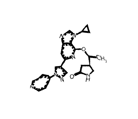 CC(Oc1nc(-c2cnn(-c3ccncc3)c2)cc2ncn(C3CC3)c12)[C@H]1CNC(=O)C1